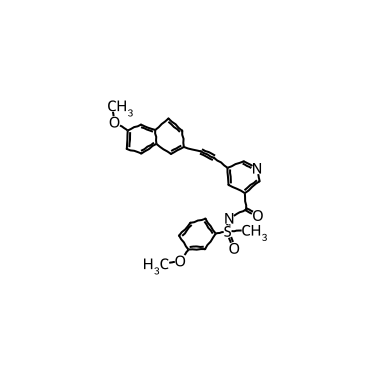 COc1cccc(S(C)(=O)=NC(=O)c2cncc(C#Cc3ccc4cc(OC)ccc4c3)c2)c1